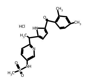 Cc1ccc(C(=O)c2ccc(C(C)c3ccc(NS(C)(=O)=O)cn3)[nH]2)c(C)c1.Cl